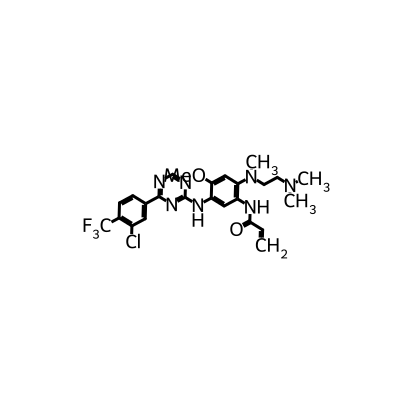 C=CC(=O)Nc1cc(Nc2ncnc(-c3ccc(C(F)(F)F)c(Cl)c3)n2)c(OC)cc1N(C)CCN(C)C